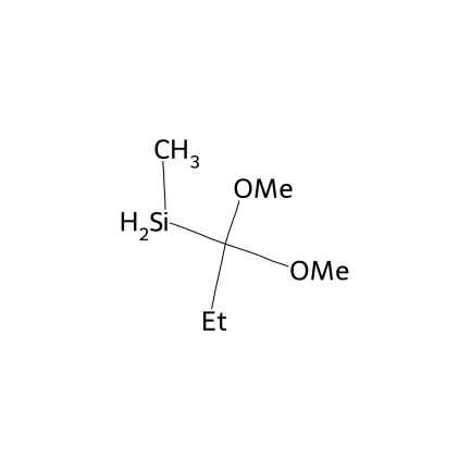 CCC(OC)(OC)[SiH2]C